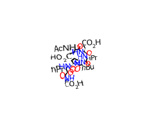 CCCC[C@H](NC(=O)[C@@H](NC(=O)[C@H](CCC(=O)O)NC(=O)[C@H](CCC(=O)O)NC(C)=O)C(C)C)C(=O)N1CCC[C@H]1C(=O)N[C@@H](CCC)C(=O)C(=O)NCC(=O)O